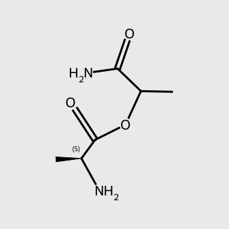 CC(OC(=O)[C@H](C)N)C(N)=O